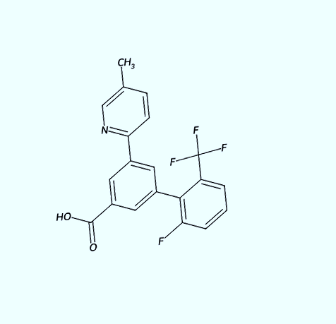 Cc1ccc(-c2cc(C(=O)O)cc(-c3c(F)cccc3C(F)(F)F)c2)nc1